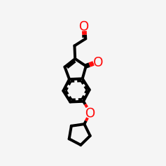 O=CCC1=Cc2ccc(OC3CCCC3)cc2C1=O